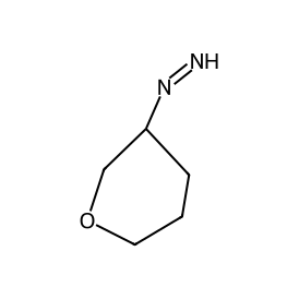 N=NC1CCCOC1